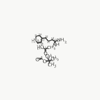 CC(=O)O.CC(C)(C)OC=O.N=C(N)CCCC1CCNCC1